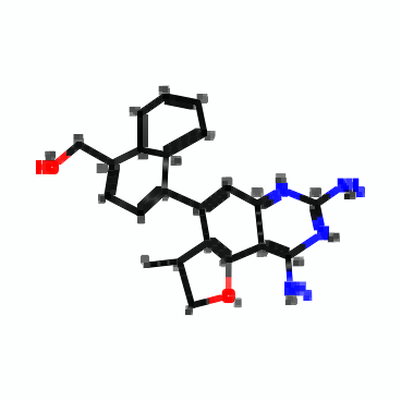 CC1COc2c1c(-c1ccc(CO)c3ccccc13)cc1nc(N)nc(N)c21